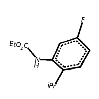 CCOC(=O)Nc1cc(F)ccc1C(C)C